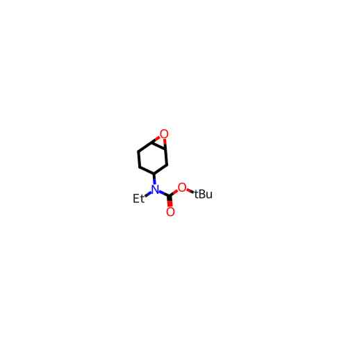 CCN(C(=O)OC(C)(C)C)C1CCC2OC2C1